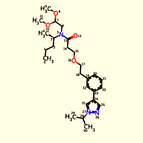 CCC[C@@H](C)N(CC(OC)OC)C(=O)CCOCCc1cccc(-c2cnn(C(C)C)c2)c1